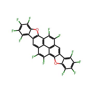 Fc1c(F)c(F)c2c(oc3c2cc2c(F)c(F)c4c5oc6c(F)c(F)c(F)c(F)c6c5cc5c(F)c(F)c3c2c54)c1F